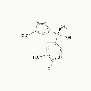 Cc1cc([C@@](C)(O)c2cc(C(=O)O)no2)cnc1Cl